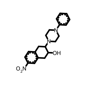 O=[N+]([O-])c1ccc2c(c1)CC(O)C(N1CCN(c3ccccc3)CC1)C2